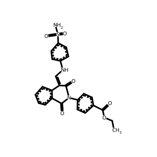 CCOC(=O)c1ccc(N2C(=O)/C(=C\Nc3ccc(S(N)(=O)=O)cc3)c3ccccc3C2=O)cc1